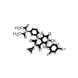 CC(=O)N(C(C)=O)c1cccc(-n2c(=O)n(C3CC3)c(=O)c3c(Nc4ccc(I)cc4F)n(C)c(=O)c(C)c32)c1